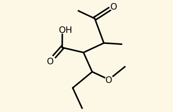 CCC(OC)C(C(=O)O)C(C)C(C)=O